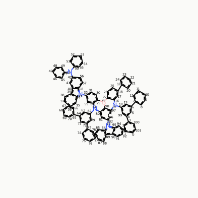 c1ccc(-c2cc(-c3ccccc3)cc(N3c4cc(-c5ccccc5)ccc4B4c5ccc(-n6c7ccccc7c7cc(N(c8ccccc8)c8ccccc8)ccc76)cc5N(c5cc(-c6ccccc6)cc(-c6ccccc6)c5)c5cc(-n6c7ccccc7c7ccccc76)cc3c54)c2)cc1